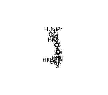 CC(C)[C@@H](N)C(=O)N1CCC[C@H]1c1ncc(-c2ccc(-c3ccc(-c4cnc([C@H]5CCCN5C(=O)OC(C)(C)C)[nH]4)cc3)cc2)[nH]1